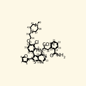 Cc1c(-c2c(-c3ccco3)sc3ncnc(NC(Cc4ccccc4C(N)=O)C(=O)O)c23)ccc(OCCN2CCN(C)CC2)c1Cl